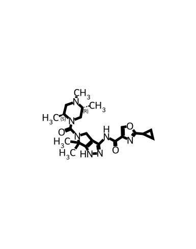 C[C@@H]1CN(C(=O)N2Cc3c(NC(=O)c4coc(C5CC5)n4)n[nH]c3C2(C)C)[C@@H](C)CN1C